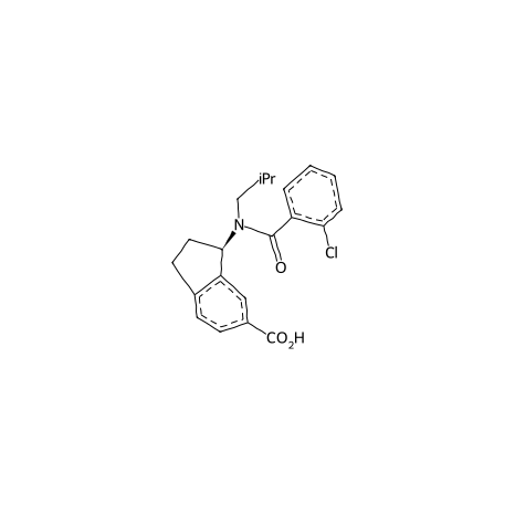 CC(C)CN(C(=O)c1ccccc1Cl)[C@@H]1CCc2ccc(C(=O)O)cc21